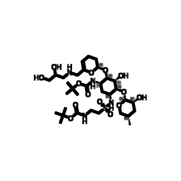 C[C@@H]1CO[C@H](O[C@@H]2[C@@H](O)[C@H](O[C@@H]3CCC=C(CNCC(O)CO)O3)[C@@H](NC(=O)OC(C)(C)C)C[C@H]2NS(=O)(=O)CCNC(=O)OC(C)(C)C)[C@H](O)C1